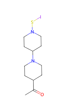 CC(=O)C1CCN(C2CCN(SI)CC2)CC1